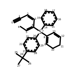 C#C/C=C\C(=C/C)S(C1=CCCC=C1)(c1ccccc1)c1ccc(C(C)(C)C)cc1